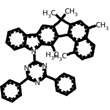 Cc1cc2c(c3c(C)cccc13)-c1c(cc3c4ccccc4n(-c4nc(-c5ccccc5)nc(-c5ccccc5)n4)c3c1C)C2(C)C